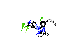 Cc1nc(N2CCc3ncc(C(F)(F)F)cc3C2)c2cc(F)c(C)cc2n1